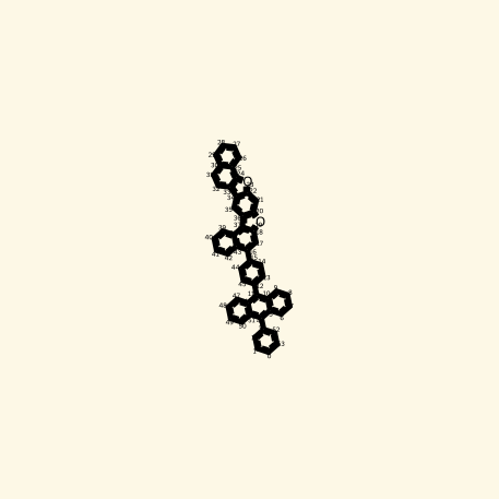 c1ccc(-c2c3ccccc3c(-c3ccc(-c4cc5oc6cc7oc8c9ccccc9ccc8c7cc6c5c5ccccc45)cc3)c3ccccc23)cc1